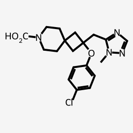 Cn1ncnc1CC1(Oc2ccc(Cl)cc2)CC2(CCN(C(=O)O)CC2)C1